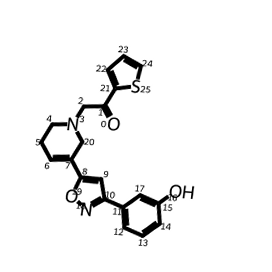 O=C(CN1CCC=C(c2cc(-c3cccc(O)c3)no2)C1)c1cccs1